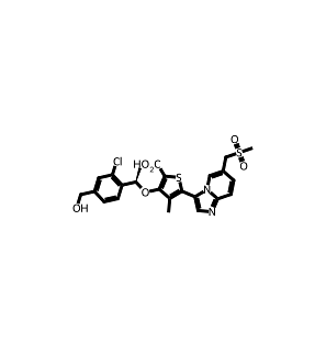 Cc1c(-c2cnc3ccc(CS(C)(=O)=O)cn23)sc(C(=O)O)c1O[C@H](C)c1ccc(CO)cc1Cl